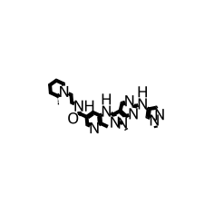 Cc1ncc(C(=O)NCCN2CCCC[C@H]2C)cc1Nc1nn(C)c2nc(Nc3cnn(C)c3)ncc12